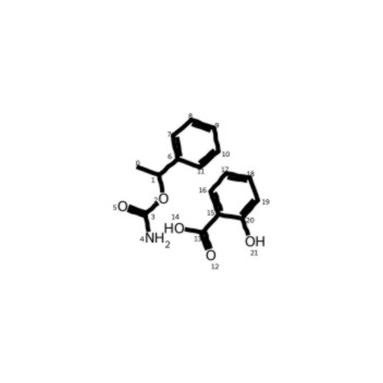 CC(OC(N)=O)c1ccccc1.O=C(O)c1ccccc1O